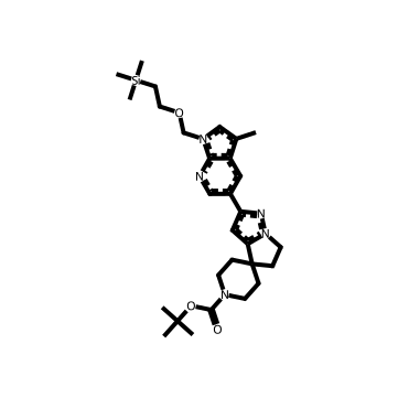 Cc1cn(COCC[Si](C)(C)C)c2ncc(-c3cc4n(n3)CCC43CCN(C(=O)OC(C)(C)C)CC3)cc12